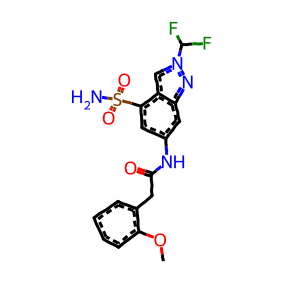 COc1ccccc1CC(=O)Nc1cc(S(N)(=O)=O)c2cn(C(F)F)nc2c1